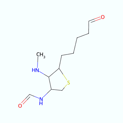 CNC1C(NC=O)CSC1CCCCC=O